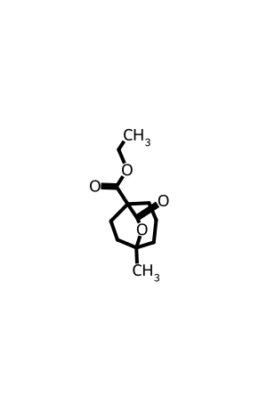 CCOC(=O)C12CCCC(C)(CC1)OC2=O